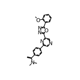 C=C(c1ccc(-c2cncc(-c3nnc(-c4ccccc4OC)o3)n2)cc1)N(C)C